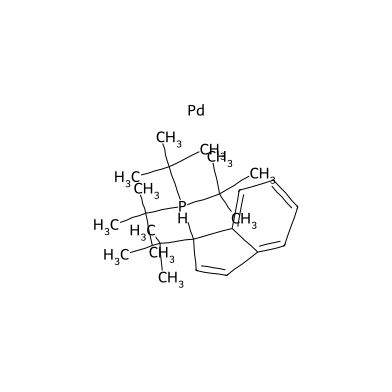 CC(C)(C)C1([PH](C(C)(C)C)(C(C)(C)C)C(C)(C)C)C=Cc2ccccc21.[Pd]